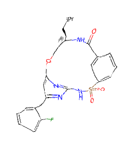 CC(C)C[C@@H]1COc2cc(-c3ccccc3F)nc(n2)NS(=O)(=O)c2cccc(c2)C(=O)N1